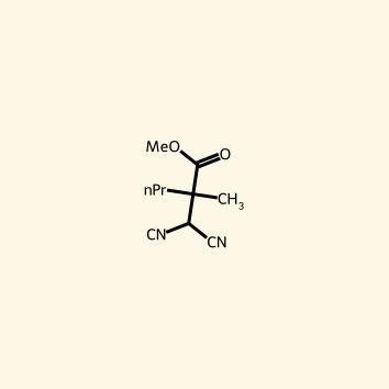 [C-]#[N+]C(C#N)C(C)(CCC)C(=O)OC